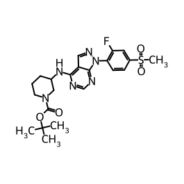 CC(C)(C)OC(=O)N1CCCC(Nc2ncnc3c2cnn3-c2ccc(S(C)(=O)=O)cc2F)C1